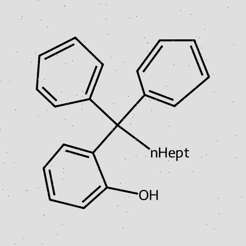 CCCCCCCC(c1ccccc1)(c1ccccc1)c1ccccc1O